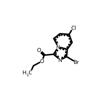 CCOC(=O)c1nc(Br)c2cc(Cl)ccn12